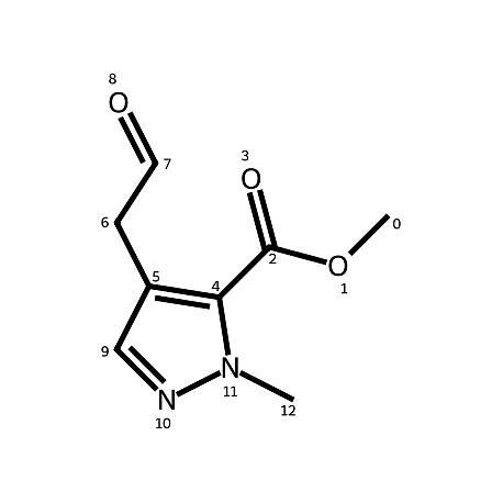 COC(=O)c1c(CC=O)cnn1C